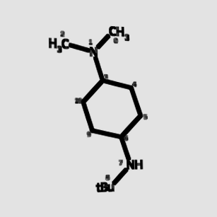 CN(C)C1CCC(NC(C)(C)C)CC1